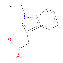 CCn1cc(CC(=O)O)c2ccccc21